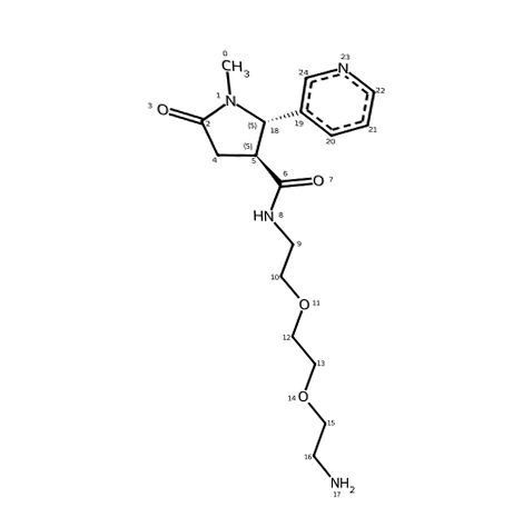 CN1C(=O)C[C@H](C(=O)NCCOCCOCCN)[C@H]1c1cccnc1